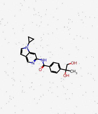 CC(O)(CO)c1ccc(C(=O)Nc2cc3c(ccn3C3CC3)cn2)cc1